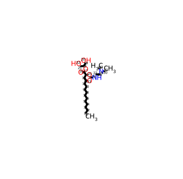 CCCCCCCCCCCCC(CCC(=O)OC(CO)CO)OC(=O)NCCN(CC)CC